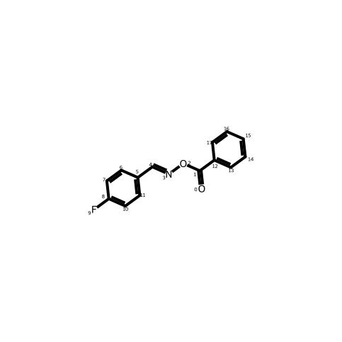 O=C(O/N=C/c1ccc(F)cc1)c1ccccc1